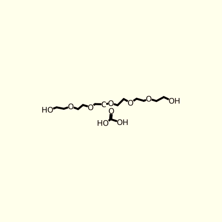 O=C(O)O.OCCOCCOCCOCCOCCOCCO